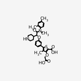 Cc1ccc(N(C)C(=O)C(Oc2cccc(-c3sc(C(=O)O)c(OCC(=O)O)c3C)c2)C2CCNCC2)c(C)c1